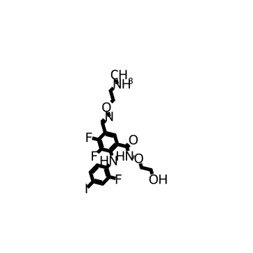 CNCCON=Cc1cc(C(=O)NOCCO)c(Nc2ccc(I)cc2F)c(F)c1F